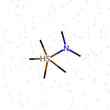 CN(C)[SH](C)(C)(C)C